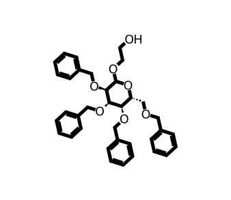 OCCOC1O[C@H](COCc2ccccc2)[C@H](OCc2ccccc2)[C@H](OCc2ccccc2)[C@H]1OCc1ccccc1